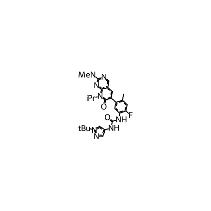 CNc1ncc2cc(-c3cc(NC(=O)Nc4cnn(C(C)(C)C)c4)c(F)cc3C)c(=O)n(C(C)C)c2n1